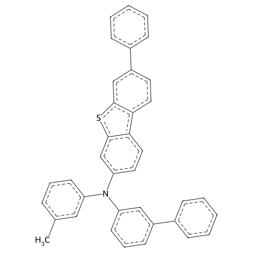 Cc1cccc(N(c2cccc(-c3ccccc3)c2)c2ccc3c(c2)sc2cc(-c4ccccc4)ccc23)c1